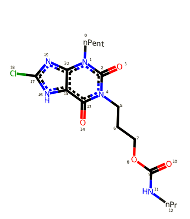 CCCCCn1c(=O)n(CCCOC(=O)NCCC)c(=O)c2[nH]c(Cl)nc21